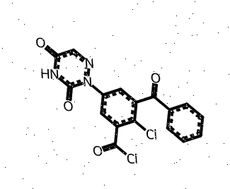 O=C(Cl)c1cc(-n2ncc(=O)[nH]c2=O)cc(C(=O)c2ccccc2)c1Cl